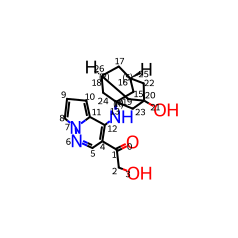 O=C(CO)c1cnn2cccc2c1N[C@@]12C[C@@H]3C[C@@H](CC(O)(C3)C1)C2